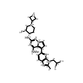 CNc1nc(N[C@H]2CCN(C3COC3)C[C@@H]2F)nn2ccc(-c3ccc4nc(C)n(CC(F)F)c4n3)c12